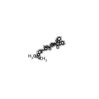 COc1cc2c(cc1OC)CN(CCc1ccc(NC(=O)c3ccc(C=c4[nH]c(=O)c(=Cc5ccccc5)n(Cc5ccccc5)c4=O)cc3)cc1)CC2